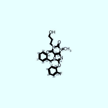 Cn1c(=O)n(CCCO)c(=O)c2c1nc(Oc1ccccc1F)n2Cc1ccccc1